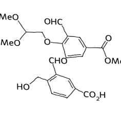 COC(=O)c1ccc(OCC(OC)OC)c(C=O)c1.O=Cc1cc(C(=O)O)ccc1CO